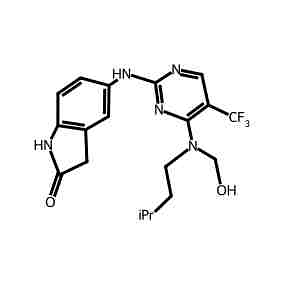 CC(C)CCN(CO)c1nc(Nc2ccc3c(c2)CC(=O)N3)ncc1C(F)(F)F